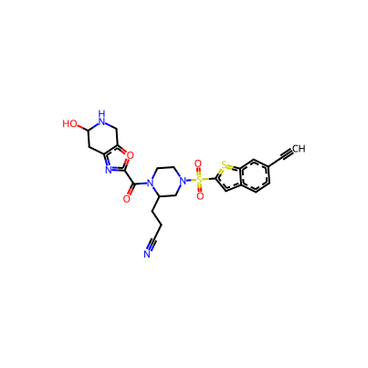 C#Cc1ccc2cc(S(=O)(=O)N3CCN(C(=O)c4nc5c(o4)CNC(O)C5)C(CCC#N)C3)sc2c1